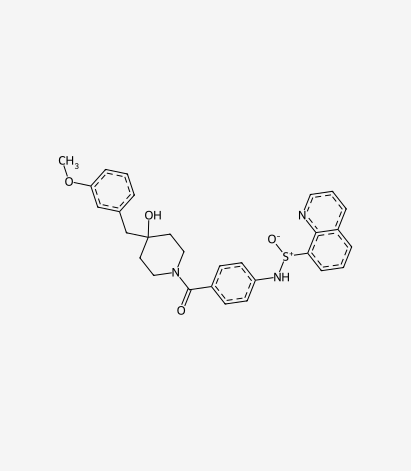 COc1cccc(CC2(O)CCN(C(=O)c3ccc(N[S+]([O-])c4cccc5cccnc45)cc3)CC2)c1